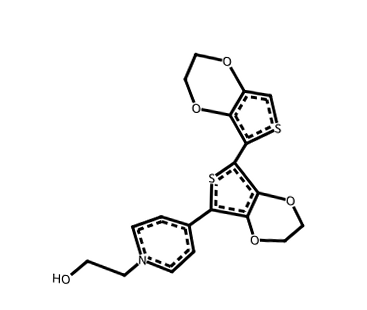 OCC[n+]1ccc(-c2sc(-c3scc4c3OCCO4)c3c2OCCO3)cc1